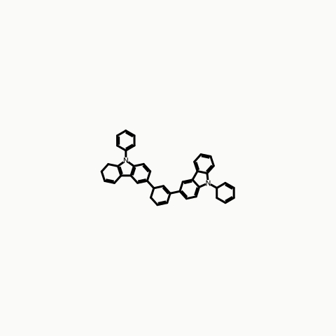 C1=CCC(n2c3ccccc3c3cc(C4=CC(c5ccc6c(c5)c5c(n6-c6ccccc6)CCC=C5)CC=C4)ccc32)C=C1